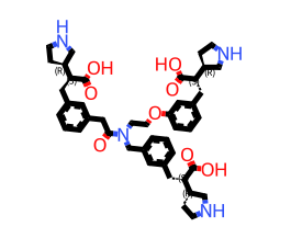 O=C(O)[C@@H](Cc1cccc(CC(=O)N(CCOc2cccc(C[C@H](C(=O)O)[C@H]3CCNC3)c2)Cc2cccc(C[C@H](C(=O)O)[C@H]3CCNC3)c2)c1)[C@H]1CCNC1